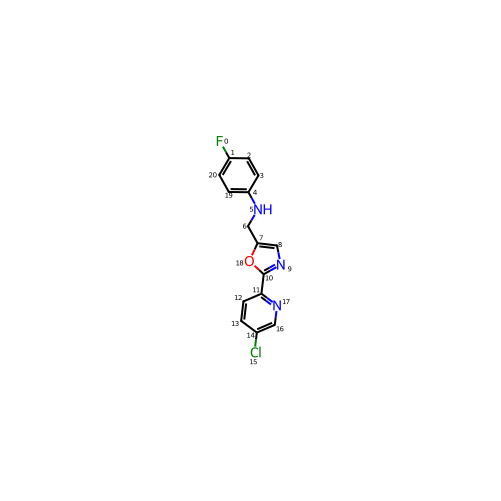 Fc1ccc(NCc2cnc(-c3ccc(Cl)cn3)o2)cc1